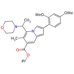 COc1ccc(-c2cc3cc(C(=O)OC(C)C)c(C)c(C(C)N4CCOCC4)n3c2)c(OC)c1